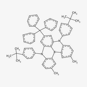 Cc1ccc2c(c1)B1c3cc(C)ccc3N(c3ccc(C(C)(C)C)cc3)c3cc(C(c4ccccc4)(c4ccccc4)c4ccccc4)cc(c31)N2c1ccc(C(C)(C)C)cc1